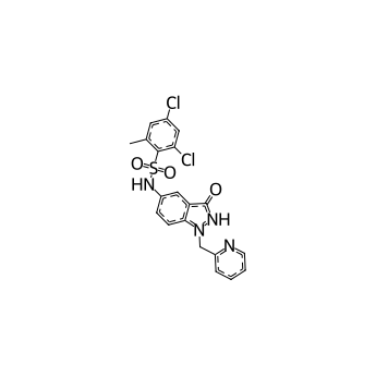 Cc1cc(Cl)cc(Cl)c1S(=O)(=O)Nc1ccc2c(c1)c(=O)[nH]n2Cc1ccccn1